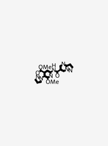 COC(=O)c1cc(NC(=O)c2cnc3ccnn3c2)nc(OC)c1-n1cccn1